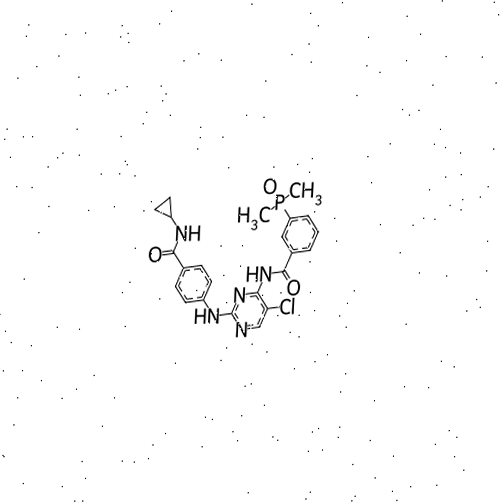 CP(C)(=O)c1cccc(C(=O)Nc2nc(Nc3ccc(C(=O)NC4CC4)cc3)ncc2Cl)c1